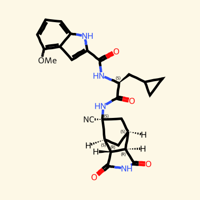 COc1cccc2[nH]c(C(=O)N[C@@H](CC3CC3)C(=O)N[C@@]3(C#N)C[C@@H]4C[C@H]3[C@H]3C(=O)NC(=O)[C@H]43)cc12